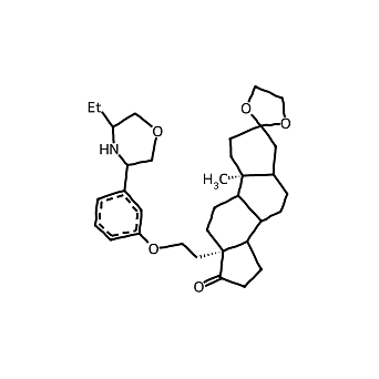 CCC1COCC(c2cccc(OCC[C@]34CCC5C(CCC6CC7(CC[C@@]65C)OCCO7)C3CCC4=O)c2)N1